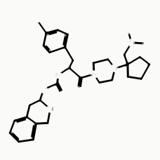 CCN(CC)CC1(N2CCN(C(=O)C(Cc3ccc(Cl)cc3)NC(=O)OC3Cc4ccccc4CN3)CC2)CCCC1